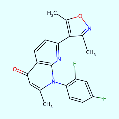 Cc1noc(C)c1-c1ccc2c(=O)cc(C)n(-c3ccc(F)cc3F)c2n1